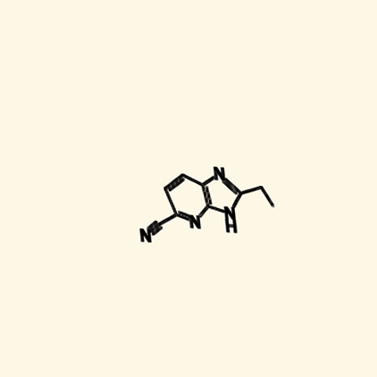 CCc1nc2ccc(C#N)nc2[nH]1